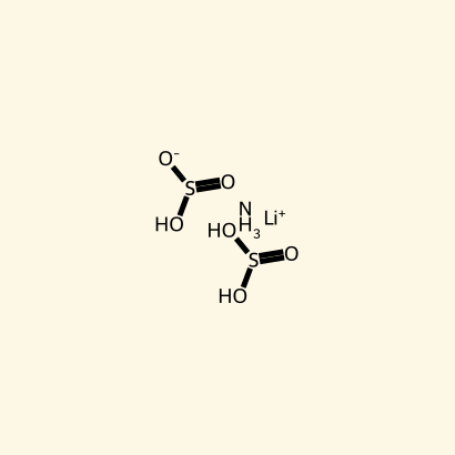 N.O=S(O)O.O=S([O-])O.[Li+]